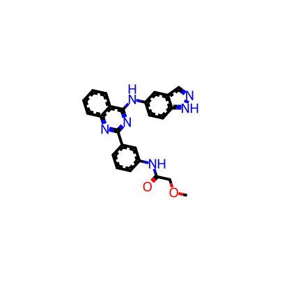 COCC(=O)Nc1cccc(-c2nc(Nc3ccc4[nH]ncc4c3)c3ccccc3n2)c1